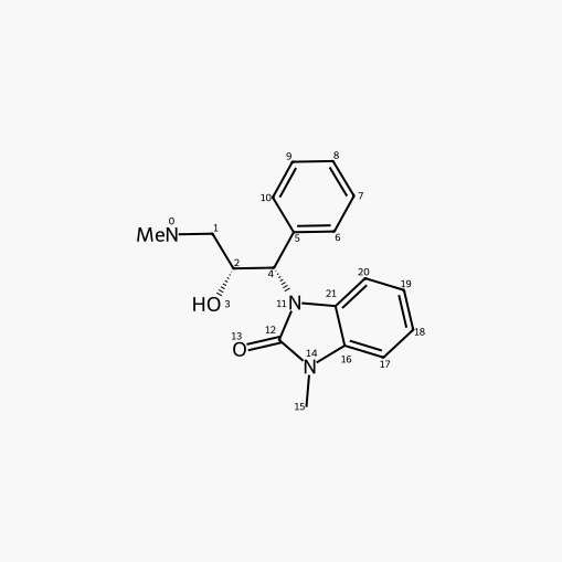 CNC[C@@H](O)[C@H](c1ccccc1)n1c(=O)n(C)c2ccccc21